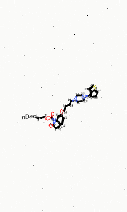 CCCCCCCCCCCCOC(=O)N1C(=O)CCc2ccc(OCCCCN3CCN(c4cccc5sccc45)CC3)cc21